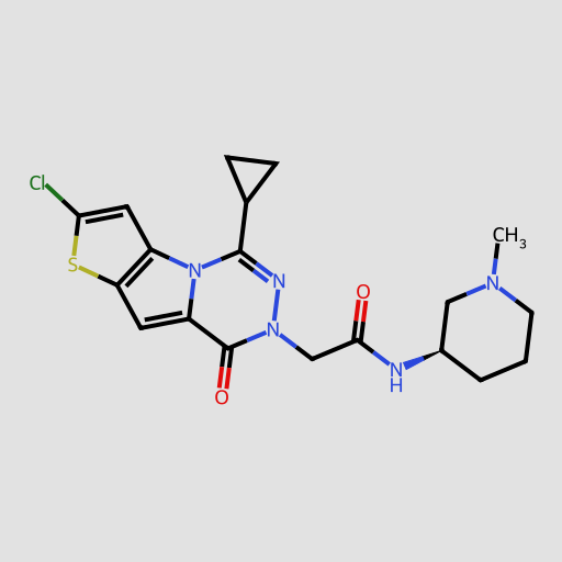 CN1CCC[C@@H](NC(=O)Cn2nc(C3CC3)n3c(cc4sc(Cl)cc43)c2=O)C1